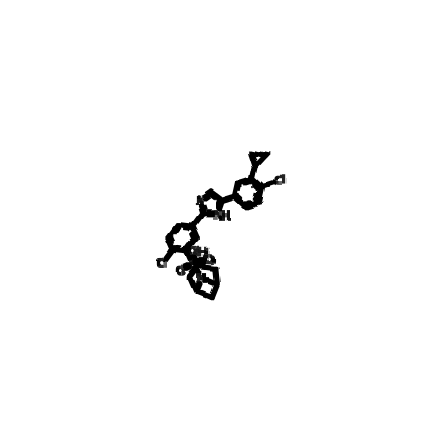 O=S(=O)(c1cc(-c2ncc(-c3ccc(Cl)c(C4CC4)c3)[nH]2)ccc1Cl)N1C2CC(O)CC1C2